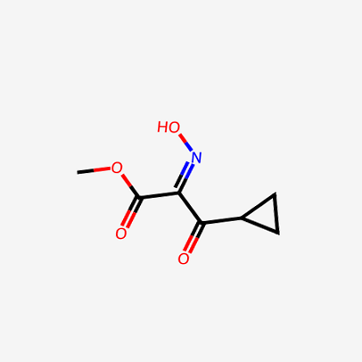 COC(=O)C(=NO)C(=O)C1CC1